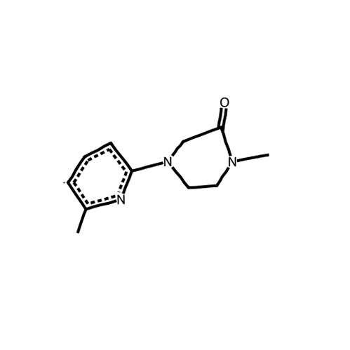 Cc1[c]ccc(N2CCN(C)C(=O)C2)n1